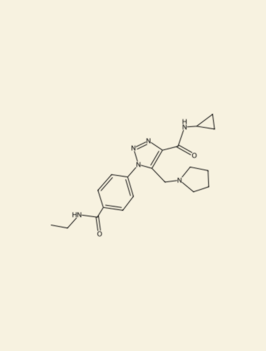 CCNC(=O)c1ccc(-n2nnc(C(=O)NC3CC3)c2CN2CCCC2)cc1